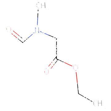 CCOC(=O)CN(C)C=O